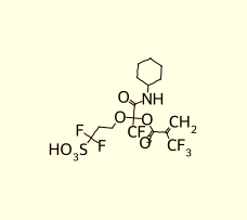 C=C(C(=O)OC(OCCC(F)(F)S(=O)(=O)O)(C(=O)NC1CCCCC1)C(F)(F)F)C(F)(F)F